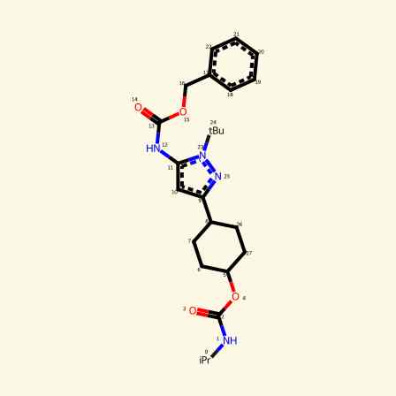 CC(C)NC(=O)OC1CCC(c2cc(NC(=O)OCc3ccccc3)n(C(C)(C)C)n2)CC1